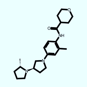 Cc1cc(N2CC[C@@H](N3CCC[C@@H]3C)C2)ccc1NC(=O)C1CCOCC1